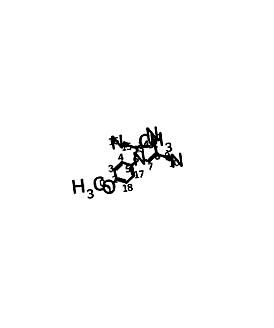 COc1ccc(N(C=C(C#N)C#N)C(C)C#N)cc1